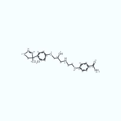 CCOC(=O)C1(c2ccc(OCC(O)CNCCOc3ccc(C(N)=O)cc3)cc2)CSN=N1